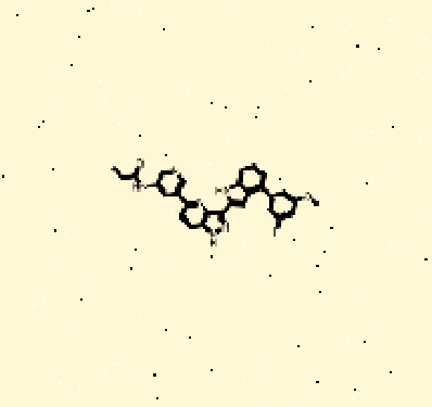 CCC(=O)Nc1cncc(-c2ccc3[nH]nc(-c4cc5c(-c6cc(F)cc(OC)c6)cccc5[nH]4)c3n2)c1